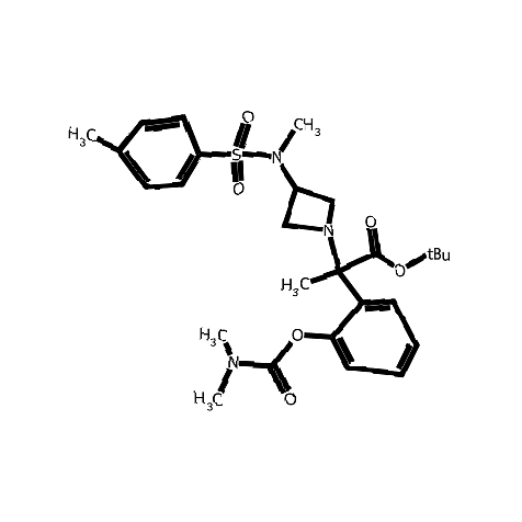 Cc1ccc(S(=O)(=O)N(C)C2CN(C(C)(C(=O)OC(C)(C)C)c3ccccc3OC(=O)N(C)C)C2)cc1